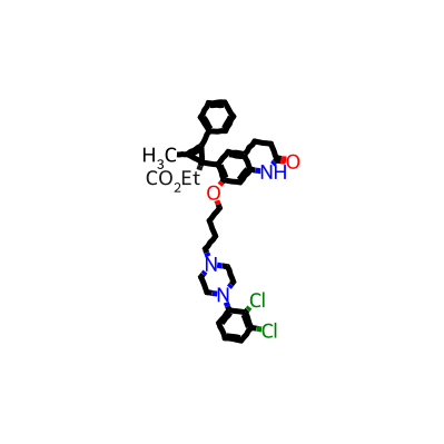 CCOC(=O)C1(c2cc3c(cc2OCCCCN2CCN(c4cccc(Cl)c4Cl)CC2)NC(=O)CC3)C(C)=C1c1ccccc1